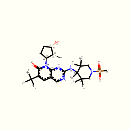 [2H]C([2H])([2H])c1cc2cnc(NC3([2H])C([2H])([2H])CN(S(C)(=O)=O)CC3([2H])[2H])nc2n([C@H]2CC[C@H](O)[C@@H]2C)c1=O